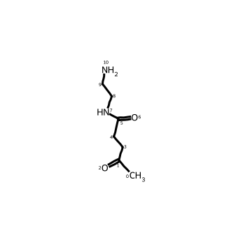 CC(=O)CCC(=O)NCCN